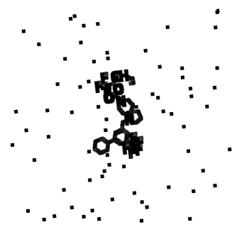 CC(OC(=O)N1CCC2(CCCN2Cc2cc(C3CCCCC3)cc(S(F)(F)(F)(F)F)c2)CC1)C(F)(F)F